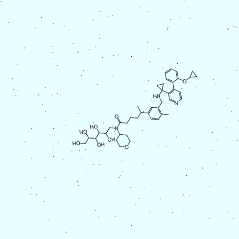 Cc1ccc(C(C)CCCC(=O)N(CC(O)C(O)C(O)C(O)CO)C2CCOCC2)cc1CNC1(c2cnccc2-c2ccccc2OC2CC2)CC1